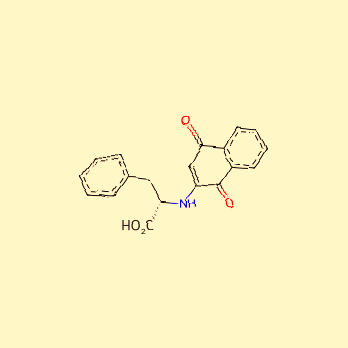 O=C1C=C(N[C@@H](Cc2ccccc2)C(=O)O)C(=O)c2ccccc21